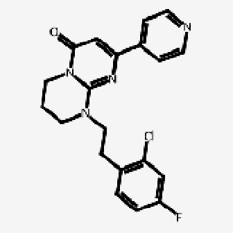 O=c1cc(-c2ccncc2)nc2n1CCCN2CCc1ccc(F)cc1Cl